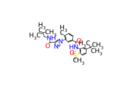 Cc1ccc(C(=O)Nc2cc(C(C)(C)C)ccc2[S+](C)[O-])cc1-n1cnc(C(=O)NCC(C)(C)C)c1